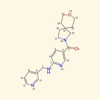 O=C(c1ccc(NCc2cccnc2)nc1)N1CCC2(CCOCC2)C1